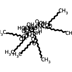 CCCCCCCCCCC[C@H](CC(=O)NC1C(OC(=O)C[C@@H](CCCCCCCCCC)OC(=O)CCCCCCCCC)[C@H](OP(=O)(O)O)C(CO)O[C@H]1OC[C@H](NC(=O)C[C@@H](CCCCCCCCCCC)OC(=O)CCCCCCCCC)C(=O)O)OC(=O)CCCCCCCCC